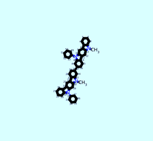 Cn1c2ccccc2c2cc3c(cc21)c1ccc(-c2ccc4c5cc6c7ccccc7n(-c7ccccc7)c6cc5n(C)c4c2)cc1n3-c1ccccc1